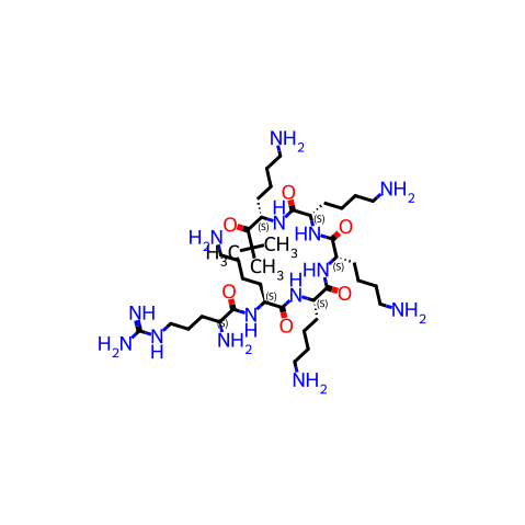 CC(C)(C)C(=O)[C@H](CCCCN)NC(=O)[C@H](CCCCN)NC(=O)[C@H](CCCCN)NC(=O)[C@H](CCCCN)NC(=O)[C@H](CCCCN)NC(=O)[C@@H](N)CCCNC(=N)N